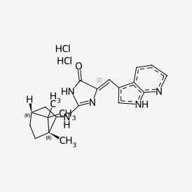 CC1(C)[C@@H]2CC[C@@]1(C)C(NC1=N/C(=C\c3c[nH]c4ncccc34)C(=O)N1)C2.Cl.Cl